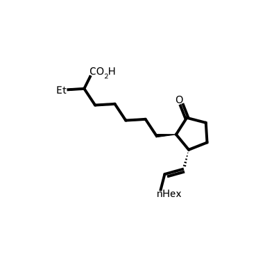 CCCCCCC=C[C@H]1CCC(=O)[C@@H]1CCCCCC(CC)C(=O)O